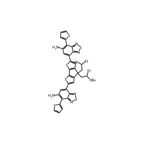 CCCCC(CC)CC1(CC(CC)CCCC)c2cc(-c3cc(N)c(-c4cccs4)c4nsnc34)sc2-c2sc(-c3cc(N)c(-c4cccs4)c4nsnc34)cc21